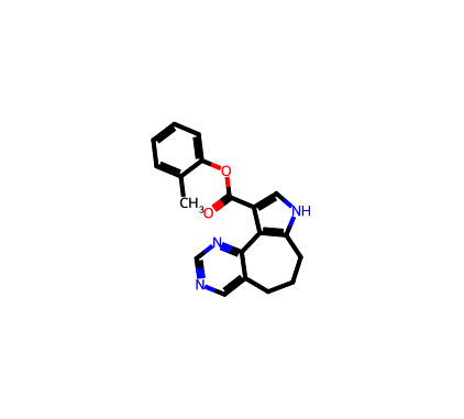 Cc1ccccc1OC(=O)c1c[nH]c2c1-c1ncncc1CCC2